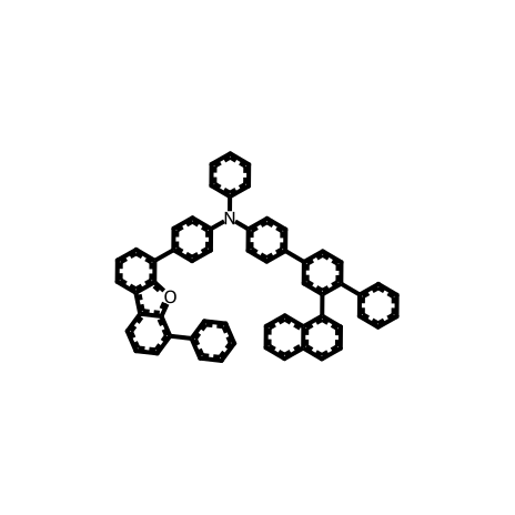 c1ccc(-c2ccc(-c3ccc(N(c4ccccc4)c4ccc(-c5cccc6c5oc5c(-c7ccccc7)cccc56)cc4)cc3)cc2-c2cccc3ccccc23)cc1